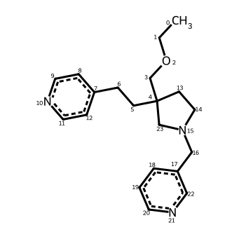 CCOCC1(CCc2ccncc2)CCN(Cc2cccnc2)C1